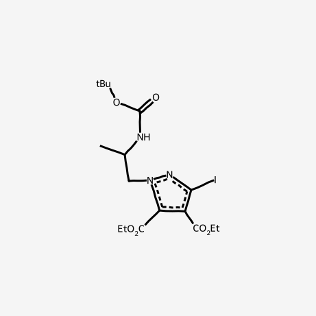 CCOC(=O)c1c(I)nn(CC(C)NC(=O)OC(C)(C)C)c1C(=O)OCC